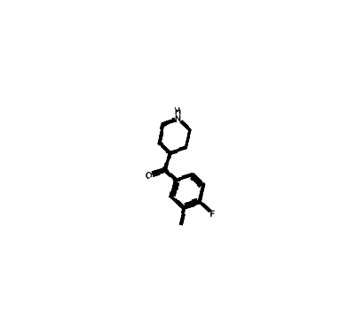 Cc1cc(C(=O)C2CCNCC2)ccc1F